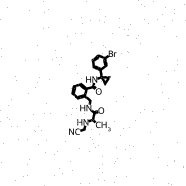 CC(NCC#N)C(=O)NCc1ccccc1C(=O)NC1(c2cccc(Br)c2)CC1